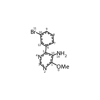 COc1ncnc(-c2cccc(Br)c2)c1N